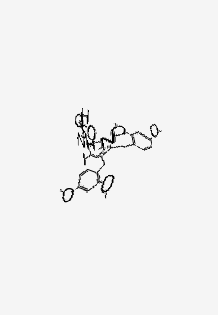 COc1ccc(Cc2nccc(I)c2Cc2ccc(OC)cc2OC)c(OC)c1.N[SH](=O)=O